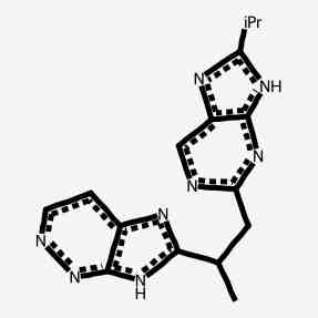 CC(C)c1nc2cnc(CC(C)c3nc4ccnnc4[nH]3)nc2[nH]1